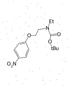 CCN(CCOc1ccc([N+](=O)[O-])cc1)C(=O)OC(C)(C)C